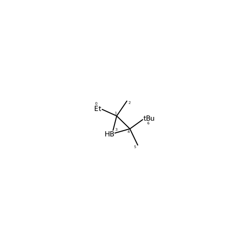 CCC1(C)BC1(C)C(C)(C)C